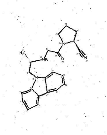 C[C@@H](Cn1c2ccccc2c2ccccc21)NCC(=O)N1CCC[C@H]1C#N